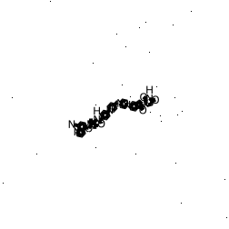 CC1(C)C(NC(=O)c2ccc(N3CCC(CN4CCN(c5ccc6c(c5)CN(C5CCC(=O)NC5=O)C6=O)CC4)CC3)cc2)C(C)(C)C1Oc1ccc(C#N)c2ncccc12